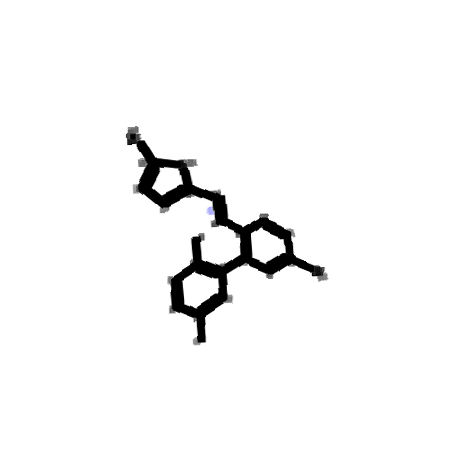 Cc1ccc(C)c(-c2cc(Br)ccc2/C=C/c2ccc(Br)s2)c1